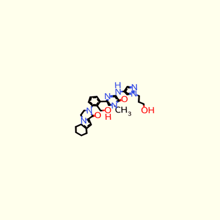 Cn1cc(-c2cccc(N3CCn4c(cc5c4CCCC5)C3=O)c2CO)nc(Nc2cnn(CCCO)c2)c1=O